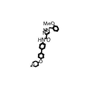 COc1ccccc1Cn1cc(C(=O)Nc2ccc(-c3ccc(OC4CCN(C)CC4)cc3)cc2)nn1